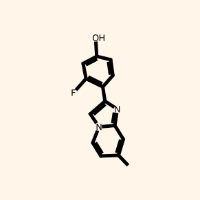 Cc1ccn2cc(-c3ccc(O)cc3F)nc2c1